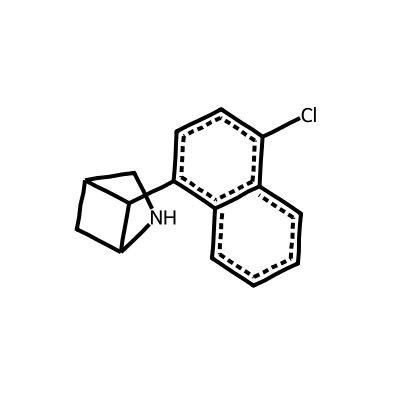 Clc1ccc(C2C3CNC2C3)c2ccccc12